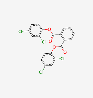 O=C(Oc1ccc(Cl)cc1Cl)c1ccccc1C(=O)Oc1ccc(Cl)cc1Cl